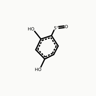 O=[S+]c1ccc(O)cc1O